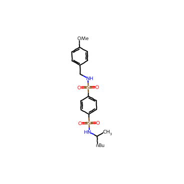 CCCCC(C)NS(=O)(=O)c1ccc(S(=O)(=O)NCc2ccc(OC)cc2)cc1